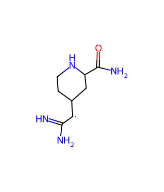 N=C(N)[CH]C1CCNC(C(N)=O)C1